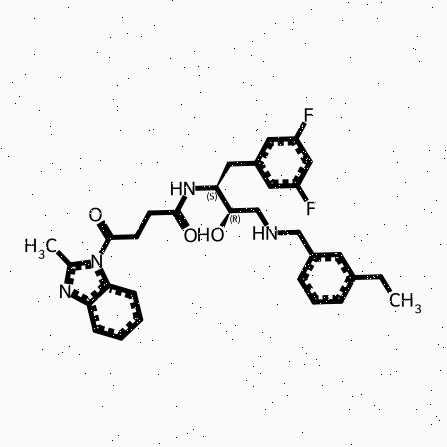 CCc1cccc(CNC[C@@H](O)[C@H](Cc2cc(F)cc(F)c2)NC(=O)CCC(=O)n2c(C)nc3ccccc32)c1